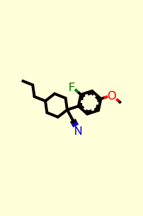 CCCC1CCC(C#N)(c2ccc(OC)cc2F)CC1